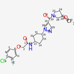 O=C(COc1ccc(Cl)c(F)c1)NC1CCC(n2cc(C(=O)N3CC[C@H](OC(F)(F)F)C3)cn2)CC1